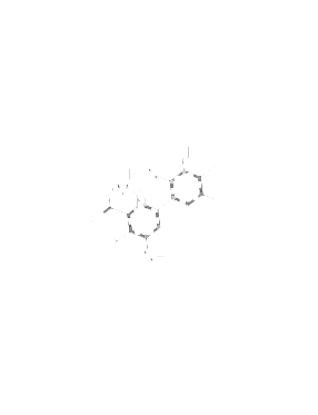 COC(=O)c1nc(-c2cc(Cl)c(C)c(Cl)c2N)cc(N)c1Cl